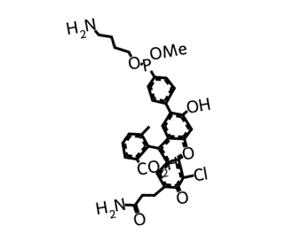 COP(OCCCCN)c1ccc(-c2cc3c(-c4c(C)cccc4C(=O)O)c4cc(CCC(N)=O)c(=O)c(Cl)c-4oc3cc2O)cc1